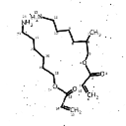 C=CC(=O)OCC(C)CCCCN.C=CC(=O)OCCCCCCN